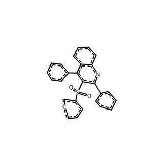 O=S(=O)(c1ccccc1)c1c(-c2ccccc2)nc2ccccc2c1-c1ccccc1